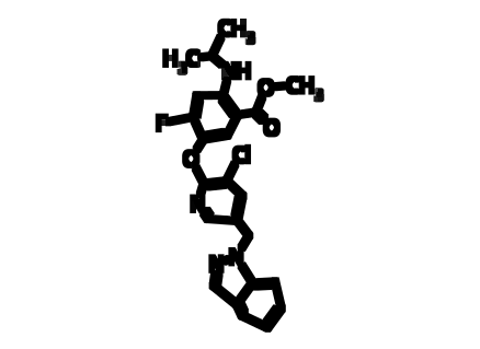 COC(=O)c1cc(Oc2ncc(Cn3ncc4ccccc43)cc2Cl)c(F)cc1NC(C)C